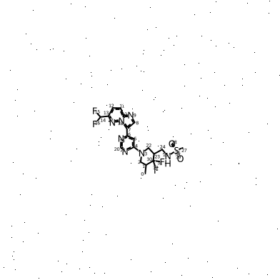 CC1CN(c2cc(-c3cnc4ccc(C(F)F)nn34)ncn2)CC(CNS(C)(=O)=O)C1(F)F